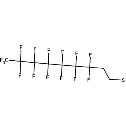 FC(F)(F)C(F)(F)C(F)(F)C(F)(F)C(F)(F)C(F)(F)C(F)(F)CC[S]